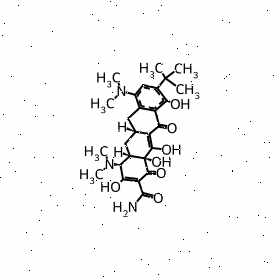 CN(C)c1cc(C(C)(C)C)c(O)c2c1C[C@H]1C[C@H]3[C@H](N(C)C)C(O)=C(C(N)=O)C(=O)[C@@]3(O)C(O)=C1C2=O